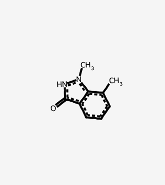 Cc1cccc2c(=O)[nH]n(C)c12